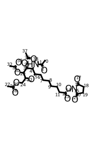 CC(=O)NC1C(CCCCCCC(=O)ON2C(=O)CCC2=O)OC(COC(C)=O)C(OC(C)=O)C1OC(C)=O